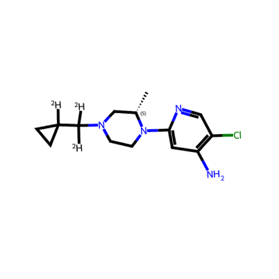 [2H]C1(C([2H])([2H])N2CCN(c3cc(N)c(Cl)cn3)[C@@H](C)C2)CC1